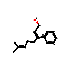 CC(C)=CCC/C(=C/CO)c1ccccc1